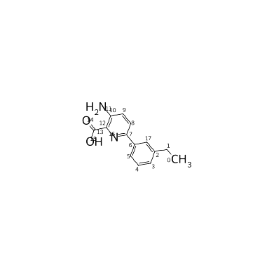 CCc1cccc(-c2ccc(N)c(C(=O)O)n2)c1